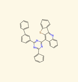 c1ccc(-c2cccc(-c3nc(-c4ccccc4)nc(-c4c5ccccc5nc5c4sc4ccccc45)n3)c2)cc1